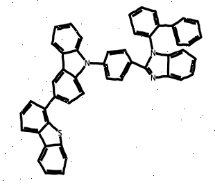 c1ccc(-c2ccccc2-n2c(-c3ccc(-n4c5ccccc5c5cc(-c6cccc7c6sc6ccccc67)ccc54)cc3)nc3ccccc32)cc1